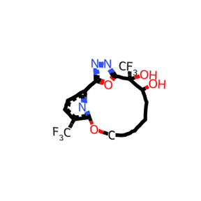 OC1CCCCCOc2nc(ccc2C(F)(F)F)-c2nnc(o2)C1(O)C(F)(F)F